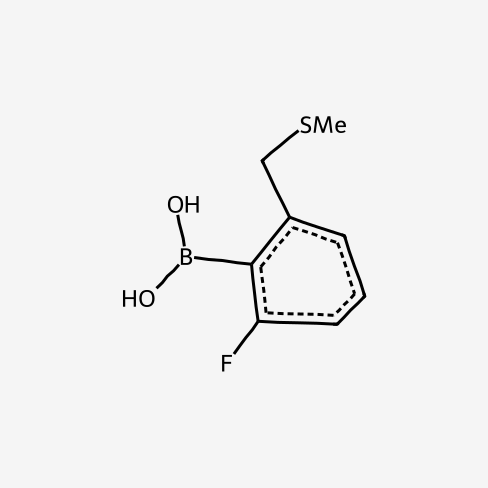 CSCc1cccc(F)c1B(O)O